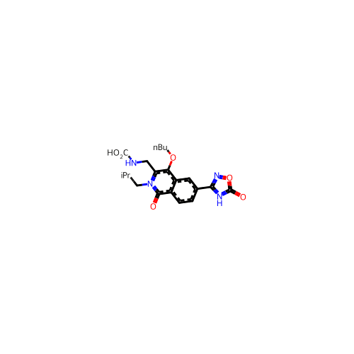 CCCCOc1c(CNC(=O)O)n(CC(C)C)c(=O)c2ccc(-c3noc(=O)[nH]3)cc12